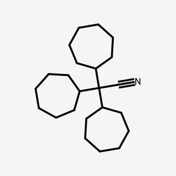 N#CC(C1CCCCCC1)(C1CCCCCC1)C1CCCCCC1